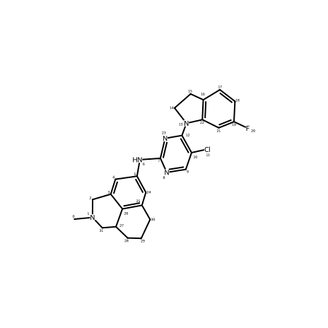 CN1Cc2cc(Nc3ncc(Cl)c(N4CCc5ccc(F)cc54)n3)cc3c2C(CCC3)C1